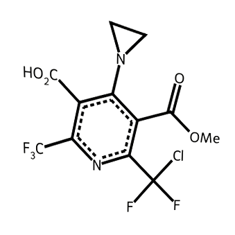 COC(=O)c1c(C(F)(F)Cl)nc(C(F)(F)F)c(C(=O)O)c1N1CC1